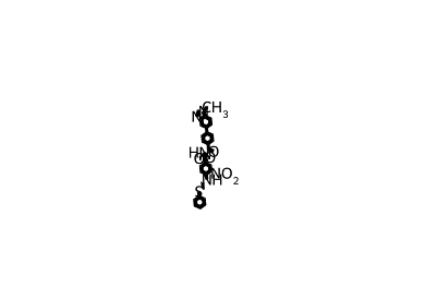 Cn1cnc2cc(-c3ccc(C(=O)NS(=O)(=O)c4ccc(NCCSc5ccccc5)c([N+](=O)[O-])c4)cc3)ccc21